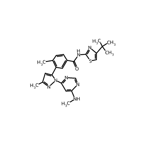 CNc1cc(-n2nc(C)cc2-c2cc(C(=O)Nc3nc(C(C)(C)C)cs3)ccc2C)ncn1